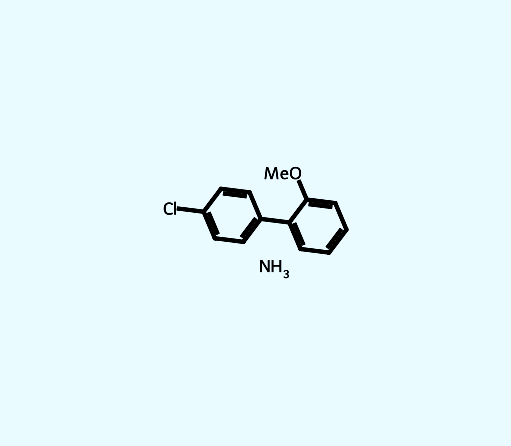 COc1ccccc1-c1ccc(Cl)cc1.N